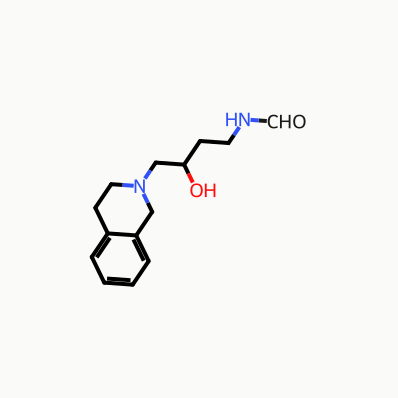 O=CNCCC(O)CN1CCc2ccccc2C1